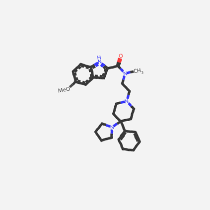 COc1ccc2[nH]c(C(=O)N(C)CCN3CCC(C4=CCCC=C4)(N4CCCC4)CC3)cc2c1